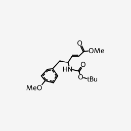 COC(=O)C=C[C@H](Cc1ccc(OC)cc1)NC(=O)OC(C)(C)C